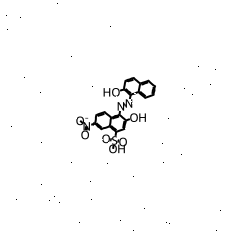 O=[N+]([O-])c1ccc2c(/N=N/c3c(O)ccc4ccccc34)c(O)cc(S(=O)(=O)O)c2c1